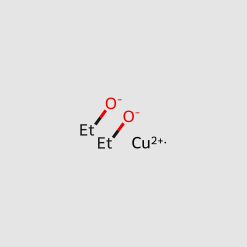 CC[O-].CC[O-].[Cu+2]